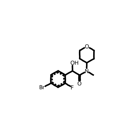 CN(C(=O)C(O)c1ccc(Br)cc1F)C1CCOCC1